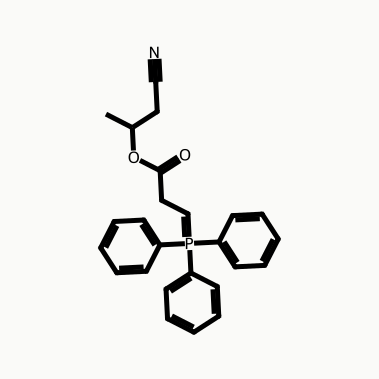 CC(CC#N)OC(=O)CC=P(c1ccccc1)(c1ccccc1)c1ccccc1